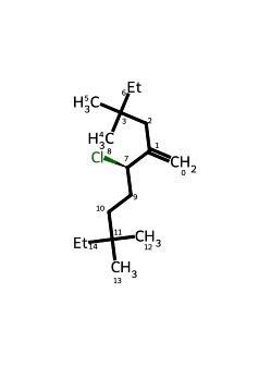 C=C(CC(C)(C)CC)[C@H](Cl)CCC(C)(C)CC